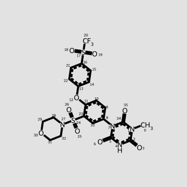 Cn1c(=O)[nH]c(=O)n(-c2ccc(Oc3ccc(S(=O)(=O)C(F)(F)F)cc3)c(S(=O)(=O)N3CCOCC3)c2)c1=O